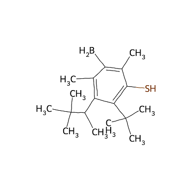 Bc1c(C)c(S)c(C(C)(C)C)c(C(C)C(C)(C)C)c1C